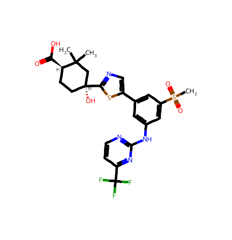 CC1(C)C[C@@](O)(c2ncc(-c3cc(Nc4nccc(C(F)(F)F)n4)cc(S(C)(=O)=O)c3)s2)CC[C@H]1C(=O)O